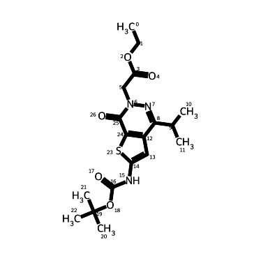 CCOC(=O)Cn1nc(C(C)C)c2cc(NC(=O)OC(C)(C)C)sc2c1=O